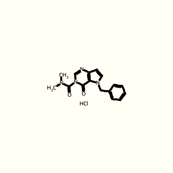 CN(C)C(=O)n1cnc2ccn(Cc3ccccc3)c2c1=O.Cl